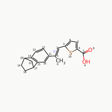 C/C(=C\c1ccc(C(=O)O)s1)c1ccc2c(c1)C1CCC2C1